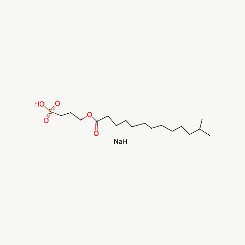 CC(C)CCCCCCCCCCC(=O)OCCCS(=O)(=O)O.[NaH]